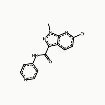 CCc1ccc2c(C(=O)Nc3ccncc3)nn(C)c2n1